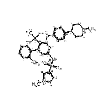 Cc1ccccc1-c1nc(NS(=O)(=O)c2cnn(C)c2)nc(Oc2ccc(C3CCN(C)CC3)cc2)c1C(F)(F)C(F)(F)F